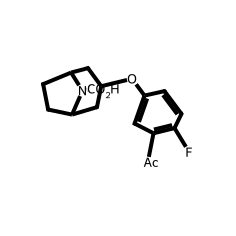 CC(=O)c1cc(OC2CC3CCC(C2)N3C(=O)O)ccc1F